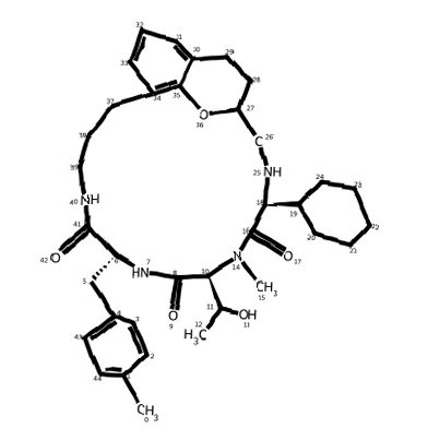 Cc1ccc(C[C@H]2NC(=O)[C@H](C(C)O)N(C)C(=O)[C@H](C3CCCCC3)NCC3CCc4cccc(c4O3)CCCNC2=O)cc1